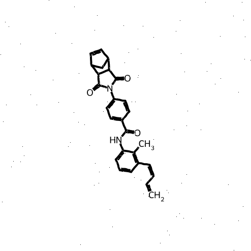 C=C/C=C\c1cccc(NC(=O)c2ccc(N3C(=O)C4C5C=CC(C5)C4C3=O)cc2)c1C